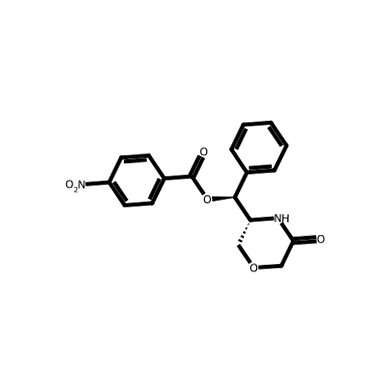 O=C1COC[C@H]([C@@H](OC(=O)c2ccc([N+](=O)[O-])cc2)c2ccccc2)N1